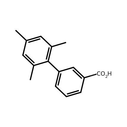 Cc1cc(C)c(-c2cccc(C(=O)O)c2)c(C)c1